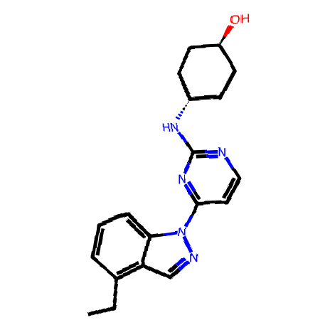 CCc1cccc2c1cnn2-c1ccnc(N[C@H]2CC[C@H](O)CC2)n1